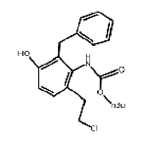 CCCCOC(=O)Nc1c(CCCl)ccc(O)c1Cc1ccccc1